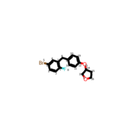 Fc1ccc(Br)cc1Cc1ccc(OC2CCOC2)cc1